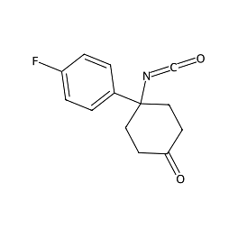 O=C=NC1(c2ccc(F)cc2)CCC(=O)CC1